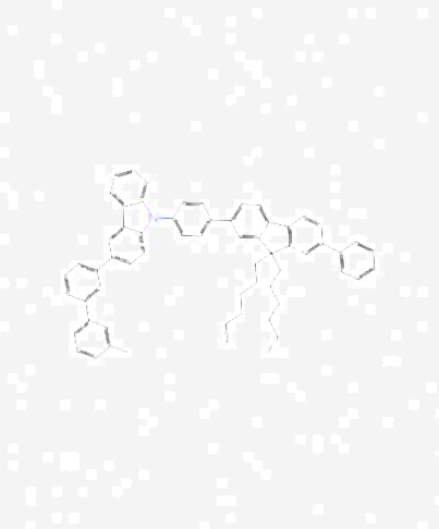 CCCCCCC1(CCCCCC)c2cc(-c3ccccc3)ccc2-c2ccc(-c3ccc(-n4c5ccccc5c5cc(-c6cccc(-c7cccc(C)c7)c6)ccc54)cc3)cc21